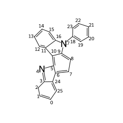 C1=CCC2=Nc3c(ccc4c3c3ccccc3n4-c3ccccc3)C2=C1